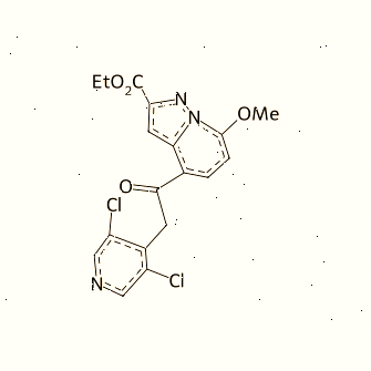 CCOC(=O)c1cc2c(C(=O)Cc3c(Cl)cncc3Cl)ccc(OC)n2n1